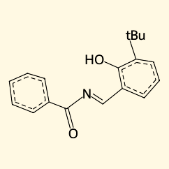 CC(C)(C)c1cccc(C=NC(=O)c2ccccc2)c1O